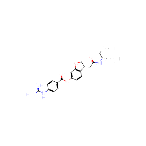 N=C(N)Nc1ccc(C(=O)Oc2ccc3c(c2)OC[C@H]3CC(=O)N[C@H](CC(=O)O)C(=O)O)cc1